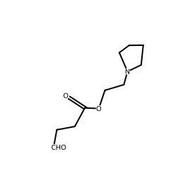 O=CCCC(=O)OCCN1CCCC1